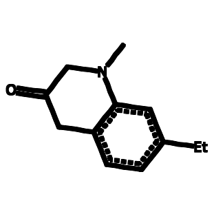 CCc1ccc2c(c1)N(C)CC(=O)C2